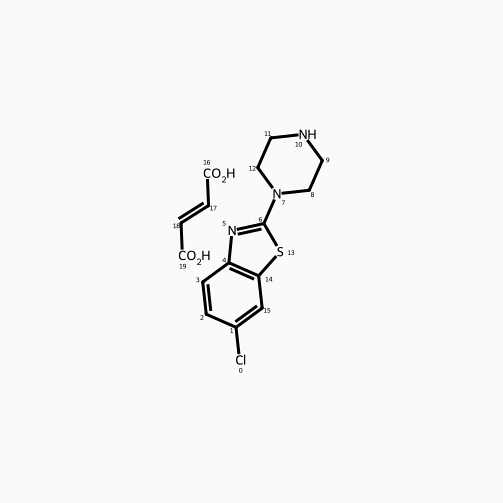 Clc1ccc2nc(N3CCNCC3)sc2c1.O=C(O)C=CC(=O)O